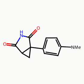 CNc1ccc(C23CC2C(=O)NC3=O)cc1